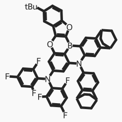 CC(C)(C)c1ccc2oc3c(c2c1)Oc1cc(N(c2c(F)cc(F)cc2F)c2c(F)cc(F)cc2F)cc2c1B3c1cc3c(cc1N2c1ccc2c(c1)C1CCC2CC1)C1CCC3CC1